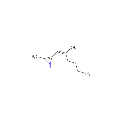 CCCC/C(C)=C\C1=C(C)N1